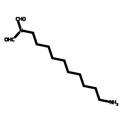 NCCCCCCCCCCN(C=O)C=O